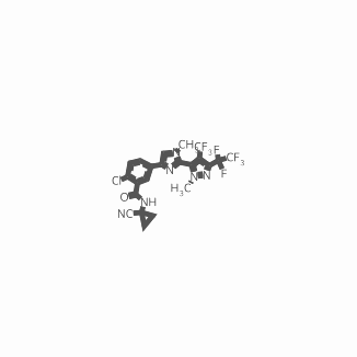 Cn1cc(-c2ccc(Cl)c(C(=O)NC3(C#N)CC3)c2)nc1-c1c(C(F)(F)F)c(C(F)(F)C(F)(F)F)nn1C